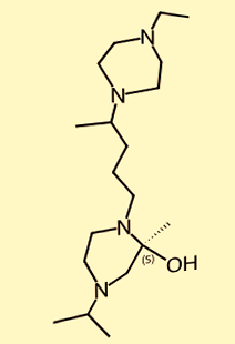 CCN1CCN(C(C)CCCN2CCN(C(C)C)C[C@]2(C)O)CC1